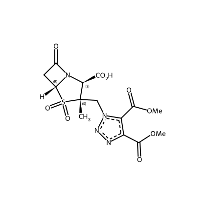 COC(=O)c1nnn(C[C@@]2(C)[C@H](C(=O)O)N3C(=O)C[C@H]3S2(=O)=O)c1C(=O)OC